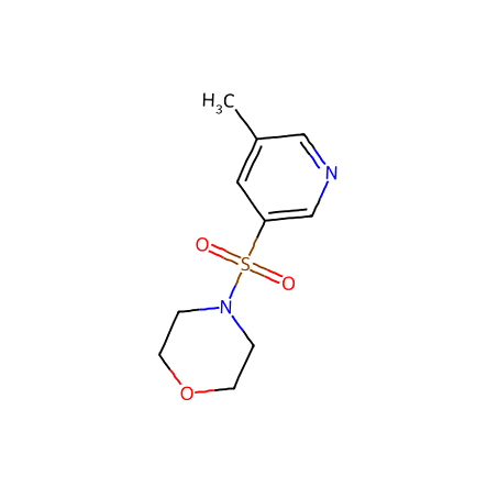 Cc1cncc(S(=O)(=O)N2CCOCC2)c1